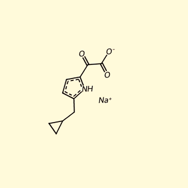 O=C([O-])C(=O)c1ccc(CC2CC2)[nH]1.[Na+]